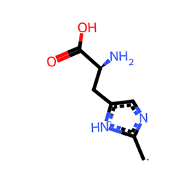 [CH2]c1ncc(C[C@H](N)C(=O)O)[nH]1